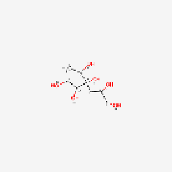 CC(O)C(O)(CC(O)CO)C(O)CO